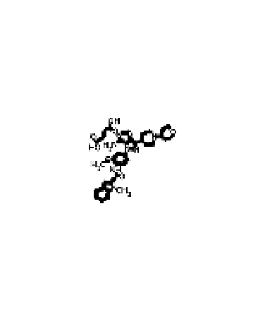 COc1cc(-n2nc(C3CCN(C4CCOCC4)CC3)c3ncnc(N)c32)ccc1NC(=O)c1cc2ccccc2n1C.O=C(O)C=CC(=O)O